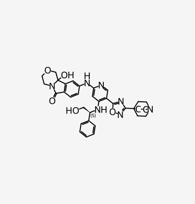 O=C1c2ccc(Nc3cc(N[C@H](CO)c4ccccc4)c(-c4nc(C56CCN(CC5)CC6)no4)cn3)cc2C2(O)COCCN12